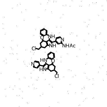 CC(=O)Nc1cc(-c2[nH]c3c(c2Nc2ccccc2)C(=O)CC(CCl)C3)ccn1.O=C1CC(CCl)Cc2[nH]c(-c3ccncc3)c(Nc3ccccc3)c21